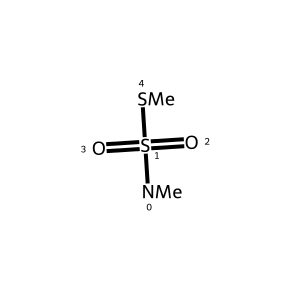 CNS(=O)(=O)SC